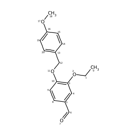 CCOc1cc(C=O)ccc1OCc1ccc(OC)cc1